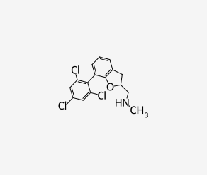 CNCC1Cc2cccc(-c3c(Cl)cc(Cl)cc3Cl)c2O1